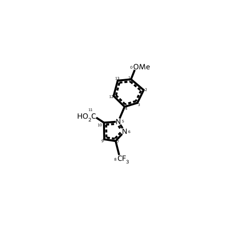 COc1ccc(-n2nc(C(F)(F)F)cc2C(=O)O)cc1